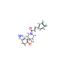 NCc1ccc2c(c1)C1(CCN(C(=O)C=Cc3ccc(F)c(F)c3)CC1)CO2